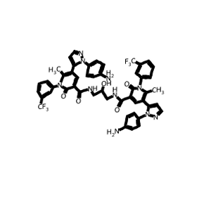 Cc1c(-c2ccnn2-c2ccc(N)cc2)cc(C(=O)NCC(O)CNC(=O)c2cc(-c3ccnn3-c3ccc(N)cc3)c(C)n(-c3cccc(C(F)(F)F)c3)c2=O)c(=O)n1-c1cccc(C(F)(F)F)c1